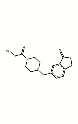 CC(C)(C)OC(=O)N1CCN(Cc2ccc3c(c2)C(=O)CC3)CC1